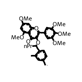 [CH2]CCC(Oc1c(-c2cc(OC)c(OC)c(OC)c2)oc2cc(OC)cc(OC)c2c1=O)c1ccc([CH2])cc1C